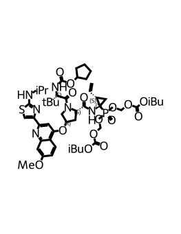 C=C[C@@H]1C[C@]1(NC(=O)[C@@H]1C[C@@H](Oc2cc(-c3csc(NC(C)C)n3)nc3cc(OC)ccc23)CN1C(=O)[C@@H](NC(=O)OC1CCCC1)C(C)(C)C)P(=O)(OCOC(=O)OCC(C)C)OCOC(=O)OCC(C)C